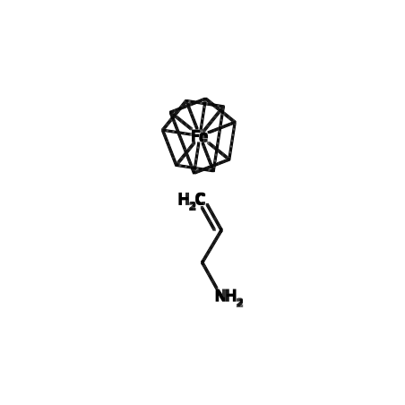 C=CCN.[CH]12[CH]3[CH]4[CH]5[CH]1[Fe]23451678[CH]2[CH]1[CH]6[CH]7[CH]28